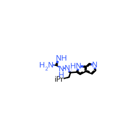 CC(C)C/C(=N\NC(=N)N)c1cc2ccncc2[nH]1